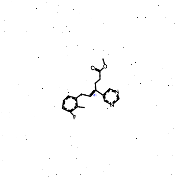 COC(=O)CC/C(=C\Cc1cccc(F)c1C)c1cncnc1